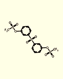 O=S(=O)(c1cccc(OS(=O)(=O)C(F)(F)F)c1)c1cccc(OS(=O)(=O)C(F)(F)F)c1